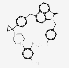 COc1ccc(CN2C(=O)c3cccc4c(Cc5ccc(C6(N7CCN(c8ccc(C#N)cc8F)CC7)CC6)cc5)ccc2c34)cc1